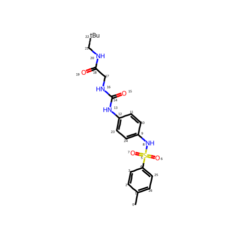 Cc1ccc(S(=O)(=O)Nc2ccc(NC(=O)NCC(=O)NCC(C)(C)C)cc2)cc1